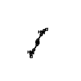 Clc1ccc2[nH]c(-c3ccc(C#Cc4ccc5c(c4)CN4CN5Cc5cc(C#Cc6ccc(-c7nc8cc(Cl)ccc8[nH]7)cc6)ccc54)cc3)nc2c1